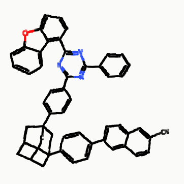 N#Cc1ccc2cc(-c3ccc(C45CC6CC7CC(c8ccc(-c9nc(-c%10ccccc%10)nc(-c%10cccc%11oc%12ccccc%12c%10%11)n9)cc8)(C4)CC765)cc3)ccc2c1